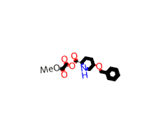 COC(=O)C(=O)OC(=O)[C@@H]1CC[C@@H](OCc2ccccc2)CN1